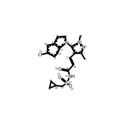 Cc1nn(C)c(-n2ccc3cc(Cl)ccc32)c1/C=C/C(=O)NS(=O)(=O)CC1CC1